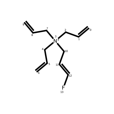 C=CC[N+](CC=C)(CC=C)CC=CF